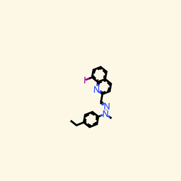 CCc1ccc(N(C)/N=C/c2ccc3cccc(I)c3n2)cc1